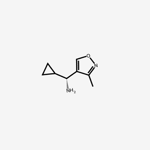 Cc1nocc1[C@H](N)C1CC1